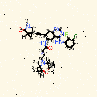 [2H]C1([2H])OC([2H])([2H])C([2H])([2H])N(C/C=C/C(=O)Nc2cc3c(Nc4cccc(Cl)c4F)ncnc3cc2C#C[C@@]23C[C@@H]2C(=O)N(C)C3)C1([2H])[2H]